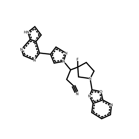 N#CCC(n1cc(-c2ncnc3[nH]ccc23)cn1)C1(F)CCN(c2nc3cccnc3o2)C1